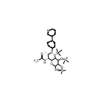 CSC1O[C@H]([C@H](NC(=O)C(F)(F)F)[C@H](C)Sc2ccc(-c3cccnc3)cc2)C(O[Si](C)(C)C)C(O[Si](C)(C)C)C1O[Si](C)(C)C